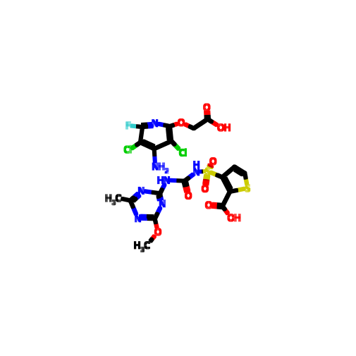 COc1nc(C)nc(NC(=O)NS(=O)(=O)c2ccsc2C(=O)O)n1.Nc1c(Cl)c(F)nc(OCC(=O)O)c1Cl